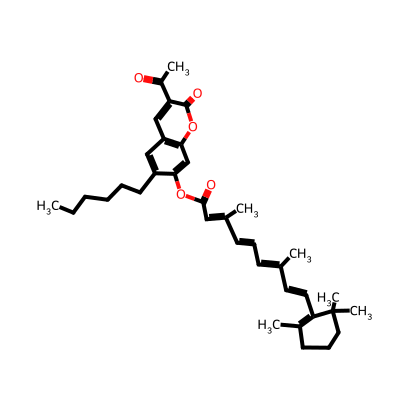 CCCCCCc1cc2cc(C(C)=O)c(=O)oc2cc1OC(=O)/C=C(C)/C=C/C=C(C)/C=C/C1=C(C)CCCC1(C)C